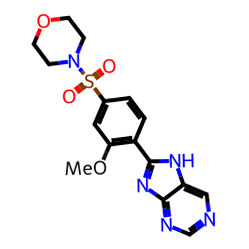 COc1cc(S(=O)(=O)N2CCOCC2)ccc1-c1nc2ncncc2[nH]1